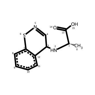 C[C@H](NC1C=NSc2ccccc21)C(=O)O